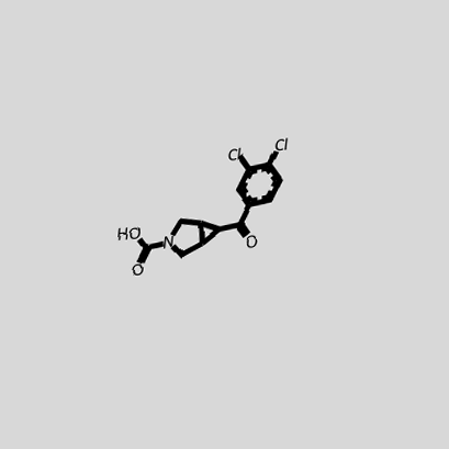 O=C(c1ccc(Cl)c(Cl)c1)C1C2CN(C(=O)O)CC21